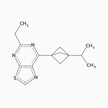 CCc1nc(C23CC(C(C)C)(C2)C3)c2ncsc2n1